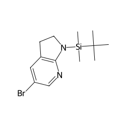 CC(C)(C)[Si](C)(C)N1CCc2cc(Br)cnc21